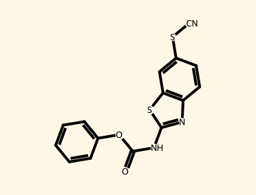 N#CSc1ccc2nc(NC(=O)Oc3ccccc3)sc2c1